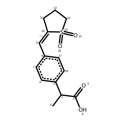 CC(C(=O)O)c1ccc(/C=C2/CCCS2(=O)=O)cc1